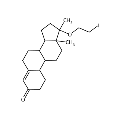 CC1(OCCI)CCC2C3CCC4=CC(=O)CCC4C3CCC21C